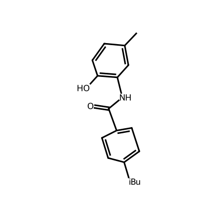 CCC(C)c1ccc(C(=O)Nc2cc(C)ccc2O)cc1